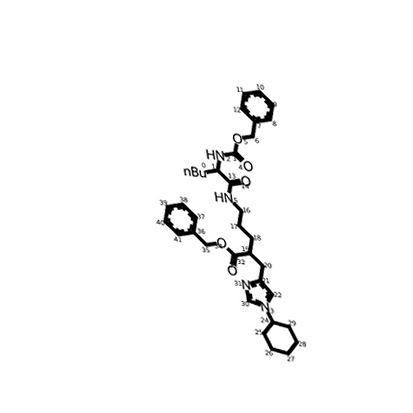 CCCCC(NC(=O)OCc1ccccc1)C(=O)NCCCC(Cc1cn(C2CCCCC2)cn1)C(=O)OCc1ccccc1